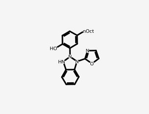 CCCCCCCCc1ccc(O)c(N2Nc3ccccc3N2c2ncco2)c1